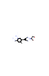 Cc1cc(C=N)c(N)cc1C1C2CN(C3CCOC3)CC21